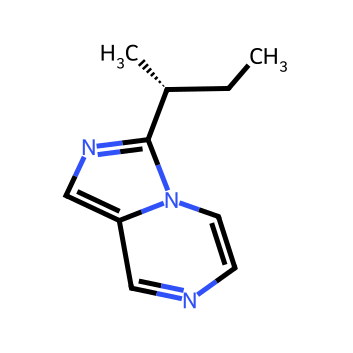 CC[C@@H](C)c1ncc2cnccn12